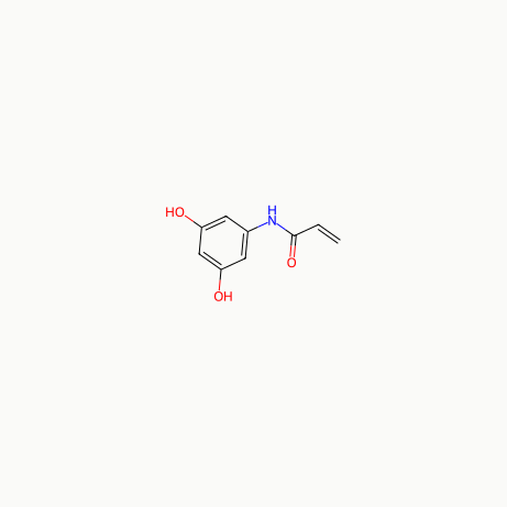 C=CC(=O)Nc1cc(O)cc(O)c1